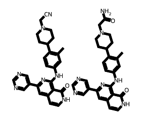 Cc1cc(Nc2nc(-c3cncnc3)cc3cc[nH]c(=O)c23)ccc1C1CCN(CC#N)CC1.Cc1cc(Nc2nc(-c3cncnc3)cc3cc[nH]c(=O)c23)ccc1C1CCN(CC(N)=O)CC1